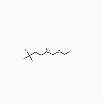 FC(F)(F)CC[SiH2]COCCl